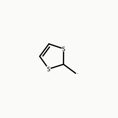 [CH2]C1SC=CS1